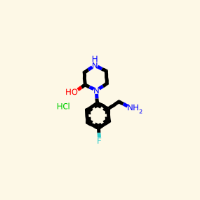 Cl.NCc1cc(F)ccc1N1CCNCC1O